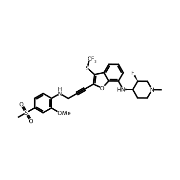 COc1cc(S(C)(=O)=O)ccc1NCC#Cc1oc2c(N[C@@H]3CCN(C)C[C@@H]3F)cccc2c1SC(F)(F)F